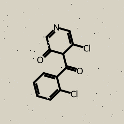 O=C1[C]=NC=C(Cl)C1C(=O)c1ccccc1Cl